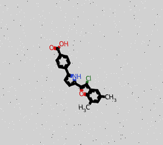 Cc1cc(C)c2oc(-c3ccc(-c4ccc(C(=O)O)cc4)[nH]3)c(Cl)c2c1